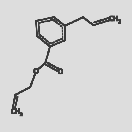 C=CCOC(=O)c1cccc(CC=C)c1